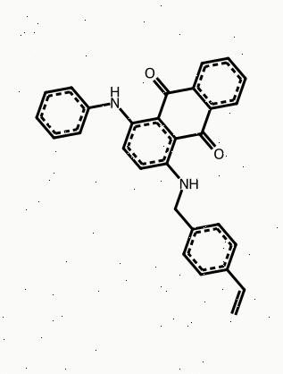 C=Cc1ccc(CNc2ccc(Nc3ccccc3)c3c2C(=O)c2ccccc2C3=O)cc1